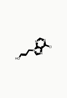 OC=CCn1cnc2c(Cl)ncnc21